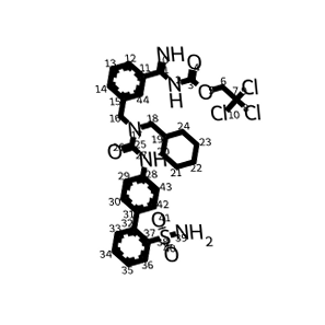 N=C(NC(=O)OCC(Cl)(Cl)Cl)c1cccc(CN(CC2CCCCC2)C(=O)Nc2ccc(-c3ccccc3S(N)(=O)=O)cc2)c1